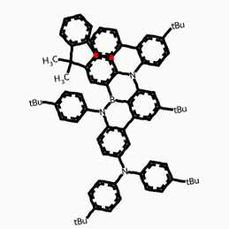 CC(C)(C)c1ccc(N2B3c4cc5c(cc4N(c4ccc(C(C)(C)C)cc4-c4ccccc4)c4cc(C(C)(C)C)cc(c43)-c3cc(N(c4ccc(C(C)(C)C)cc4)c4ccc(C(C)(C)C)cc4)ccc32)-c2ccccc2C5(C)C)cc1